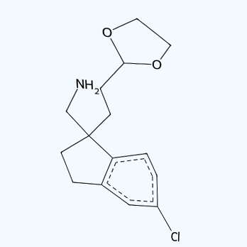 NCC1(CCC2OCCO2)CCc2cc(Cl)ccc21